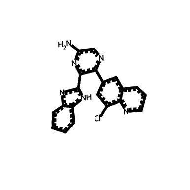 Nc1cnc(-c2cc(Cl)c3ncccc3c2)c(-c2nc3ccccc3[nH]2)n1